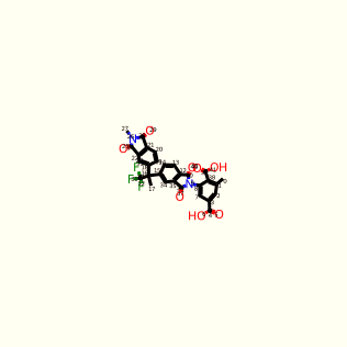 Cc1cc(C(=O)O)cc(N2C(=O)c3ccc(C(C)(c4ccc5c(c4)C(=O)N(C)C5=O)C(F)(F)F)cc3C2=O)c1C(=O)O